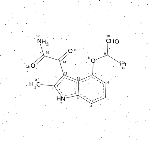 Cc1[nH]c2cccc(OC(C=O)C(C)C)c2c1C(=O)C(N)=O